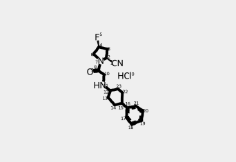 Cl.N#C[C@@H]1C[C@H](F)CN1C(=O)CNC1CCC(c2ccccc2)CC1